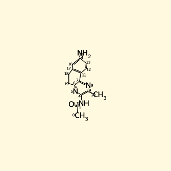 CC(=O)Nc1nc2c(nc1C)-c1ccc(N)cc1CC2